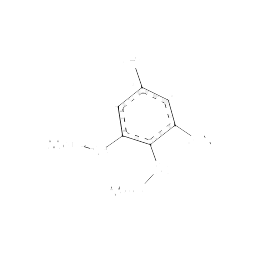 CO[Se]c1cc(Br)cc(C#N)c1[Se]OC